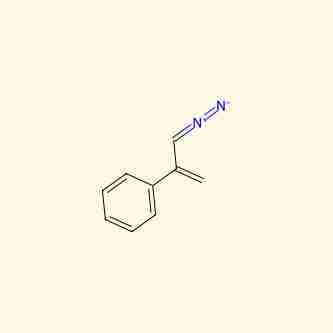 C=C(C=[N+]=[N-])c1ccccc1